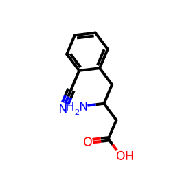 N#Cc1ccccc1CC(N)CC(=O)O